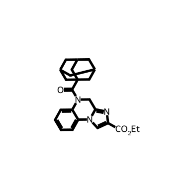 CCOC(=O)c1cn2c(n1)CN(C(=O)C13CC4CC(CC(C4)C1)C3)c1ccccc1-2